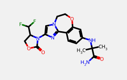 CC(C)(Nc1ccc2c(c1)OCCn1cc(N3C(=O)OCC3C(F)F)nc1-2)C(N)=O